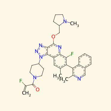 C=C(F)C(=O)N1CCC(n2nnc3c(OCC4CCCN4C)nc4c(F)c(-c5c(C)ncc6ccccc56)c(C)cc4c32)CC1